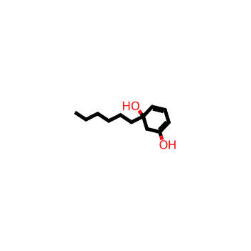 CCCCCCC1(O)C=CC=C(O)C1